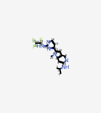 CC(C)Nc1cc2c(cn1)cc(-c1ccnc(NC(F)C(F)F)n1)n2C